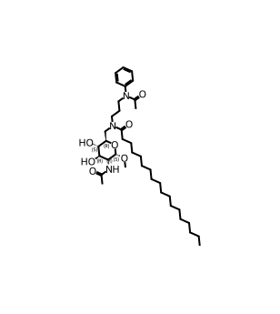 CCCCCCCCCCCCCCCCCC(=O)N(CCCN(C(C)=O)c1ccccc1)C[C@H]1O[C@H](OC)[C@H](NC(C)=O)[C@@H](O)[C@@H]1O